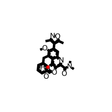 COc1c(-c2c(C)noc2C)cc2nc(C(=O)N(C)C)c3oc(=O)[nH]c3c2c1Cc1ccccc1